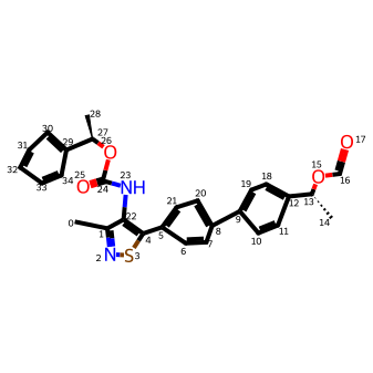 Cc1nsc(-c2ccc(-c3ccc([C@@H](C)OC=O)cc3)cc2)c1NC(=O)O[C@H](C)c1ccccc1